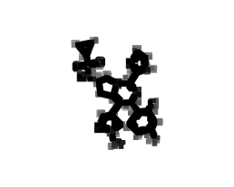 CC(C)n1cc(C2=C3C[C@H](NS(=O)(=O)C4CC4)CN3C(c3nccs3)=N[C@H]2c2ccc(F)cc2Cl)cn1